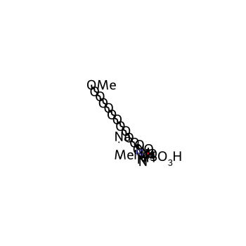 CN/C(=N\OC(=O)COCCOCCOCCOCCOCCOCCOCCOCCOCCOCCOC)[C@@H]1c2c(cnn2C)[C@@H]2CN1C(=O)N2OS(=O)(=O)O.[Na]